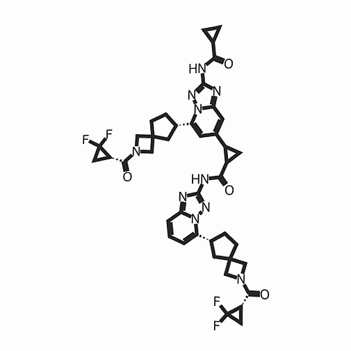 O=C(Nc1nc2cc(C3CC3C(=O)Nc3nc4cccc([C@@H]5CCC6(C5)CN(C(=O)[C@@H]5CC5(F)F)C6)n4n3)cc([C@H]3CCC4(C3)CN(C(=O)[C@@H]3CC3(F)F)C4)n2n1)C1CC1